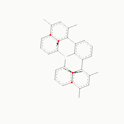 Cc1cc(C)c(-c2cccc(-c3c(C)cc(C)cc3C)c2P(c2ccccc2)c2ccccc2C)c(C)c1